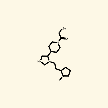 CN1CCCC1CCN1[C]NCC1C1CCN(C(=O)OC(C)(C)C)CC1